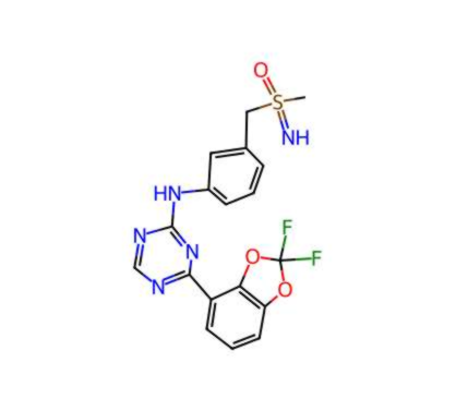 CS(=N)(=O)Cc1cccc(Nc2ncnc(-c3cccc4c3OC(F)(F)O4)n2)c1